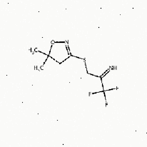 CC1(C)CC(SCC(=N)C(F)(F)F)=NO1